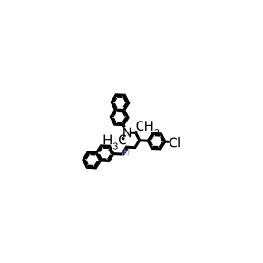 CC(C(C/C=C/c1ccc2ccccc2c1)c1ccc(Cl)cc1)N(C)c1ccc2ccccc2c1